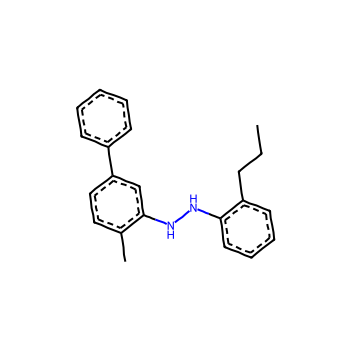 CCCc1ccccc1NNc1cc(-c2ccccc2)ccc1C